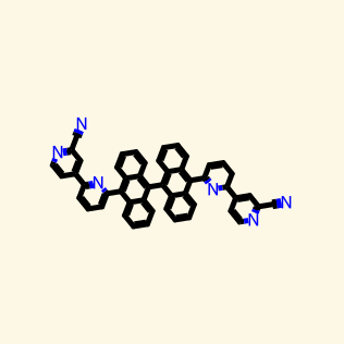 N#Cc1cc(-c2cccc(-c3c4ccccc4c(-c4c5ccccc5c(C5=NC(c6ccnc(C#N)c6)CC=C5)c5ccccc45)c4ccccc34)n2)ccn1